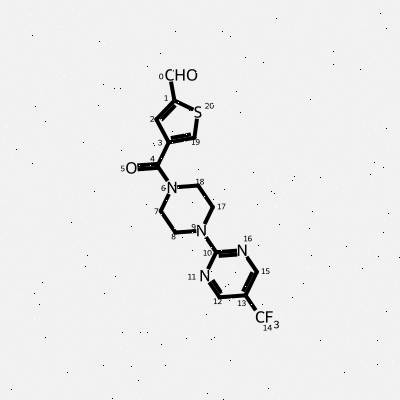 O=Cc1cc(C(=O)N2CCN(c3ncc(C(F)(F)F)cn3)CC2)cs1